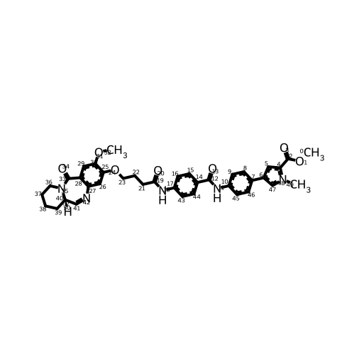 COC(=O)c1cc(-c2ccc(NC(=O)c3ccc(NC(=O)CCCOc4cc5c(cc4OC)C(=O)N4CCCC[C@H]4C=N5)cc3)cc2)cn1C